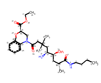 CCCCNC(=O)[C@H](C)C[C@H](O)[C@@H](N)CC(C)(C)CC(=O)N1C[C@H](C(=O)OCC)Oc2ccccc21